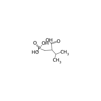 CC(C)C(CP(=O)(O)O)C(=O)O